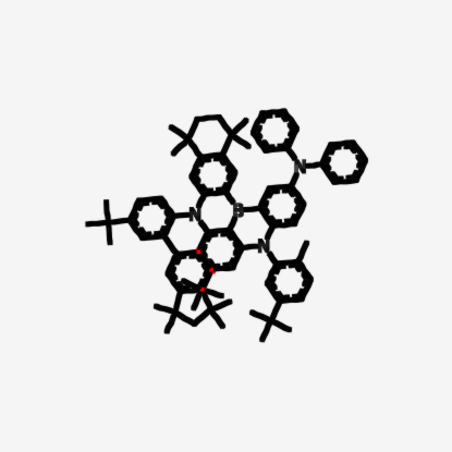 Cc1ccc(C(C)(C)C)cc1N1c2ccc(N(c3ccccc3)c3ccccc3)cc2B2c3cc4c(cc3N(c3ccc(C(C)(C)C)cc3-c3ccc5c(c3)C(C)(C)CC5(C)C)c3cc(C(C)(C)C)cc1c32)C(C)(C)CCC4(C)C